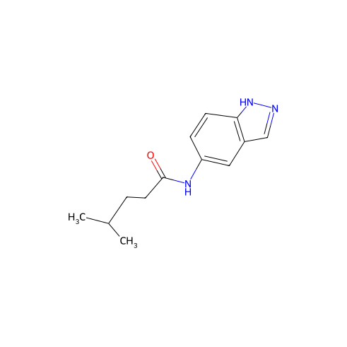 CC(C)CCC(=O)Nc1ccc2[nH]ncc2c1